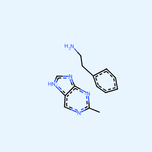 Cc1ncc2[nH]cnc2n1.NCCc1ccccc1